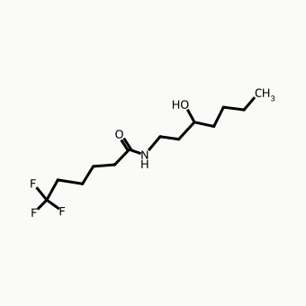 CCCCC(O)CCNC(=O)CCCCC(F)(F)F